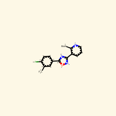 CNc1ncccc1-c1noc(-c2ccc(F)c(C(F)(F)F)c2)n1